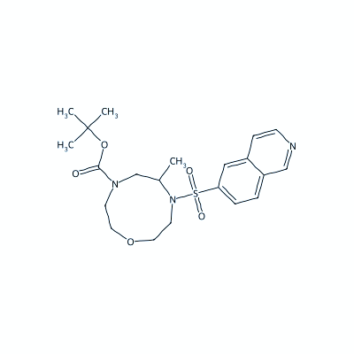 CC1CN(C(=O)OC(C)(C)C)CCOCCN1S(=O)(=O)c1ccc2cnccc2c1